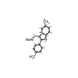 CNCc1c(-c2ccc(C)cc2)nc2ccc(C)cn12